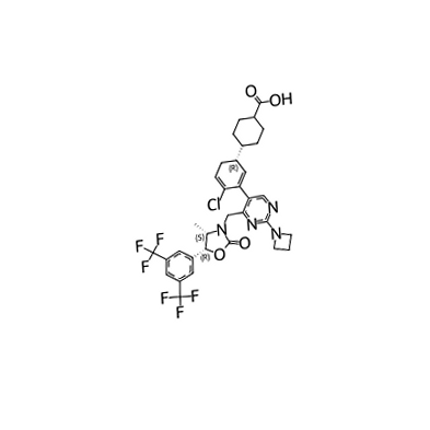 C[C@H]1[C@@H](c2cc(C(F)(F)F)cc(C(F)(F)F)c2)OC(=O)N1Cc1nc(N2CCC2)ncc1C1=C[C@@H](C2CCC(C(=O)O)CC2)CC=C1Cl